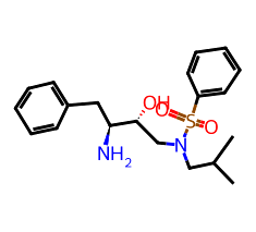 CC(C)CN(C[C@@H](O)[C@@H](N)Cc1ccccc1)S(=O)(=O)c1ccccc1